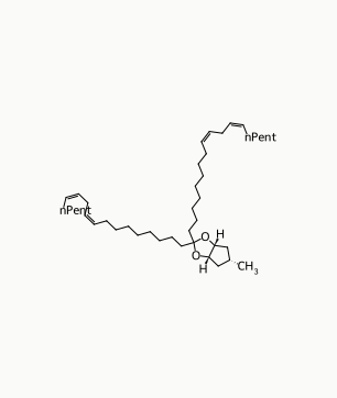 CCCCC/C=C\C/C=C\CCCCCCCCC1(CCCCCCCC/C=C\C/C=C\CCCCC)O[C@H]2C[C@@H](C)C[C@H]2O1